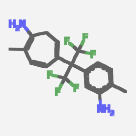 CC1=C(N)CC=C(C(c2ccc(C)c(N)c2)(C(F)(F)F)C(F)(F)F)C=C1